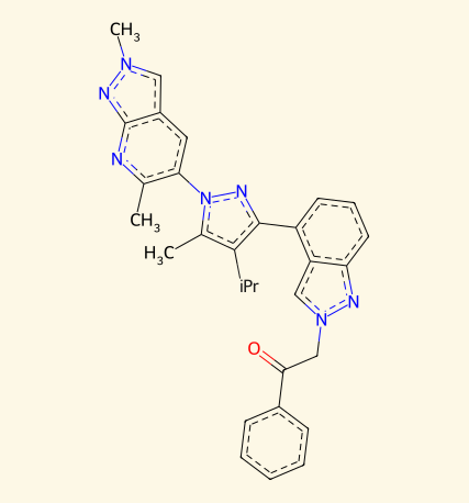 Cc1nc2nn(C)cc2cc1-n1nc(-c2cccc3nn(CC(=O)c4ccccc4)cc23)c(C(C)C)c1C